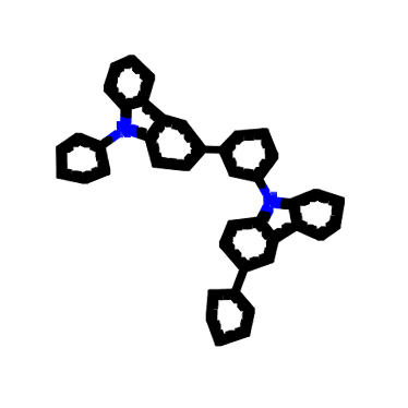 c1ccc(-c2ccc3c(c2)c2ccccc2n3-c2cccc(-c3ccc4c(c3)c3ccccc3n4-c3ccccc3)c2)cc1